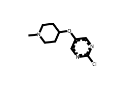 CN1CCC(Oc2cnc(Cl)nc2)CC1